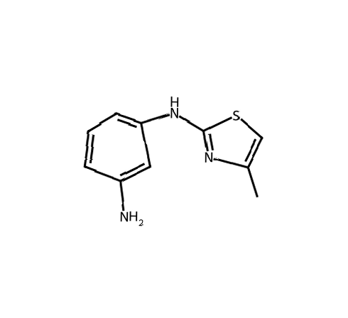 Cc1csc(Nc2cccc(N)c2)n1